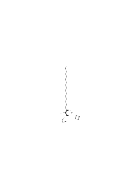 CCCCCCCCCCCCCCCCc1nc(OC2CCC2)nc(N2CCC2)c1Br